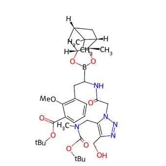 COc1c(CC(NC(=O)Cn2nnc(CO)c2CN(C)C(=O)OC(C)(C)C)B2O[C@@H]3C[C@@H]4C[C@@H](C4(C)C)[C@]3(C)O2)cccc1C(=O)OC(C)(C)C